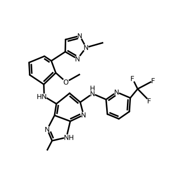 COc1c(Nc2cc(Nc3cccc(C(F)(F)F)n3)nc3[nH]c(C)nc23)cccc1-c1cnn(C)n1